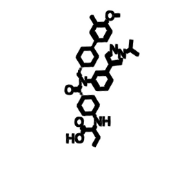 CCC(N[C@H]1CC[C@H](C(=O)N(C[C@H]2CC[C@H](c3ccc(OC)c(C)c3)CC2)c2cccc(-c3cnn(C(C)C)c3)c2)CC1)C(=O)O